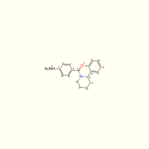 CC(=O)Nc1ccc(C(=O)N2CCCCC2c2ccccc2)cc1